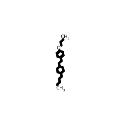 CCCCCC1CCC(CCC2=CCC(OCCCC)=CC2)CC1